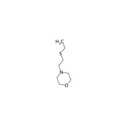 CCSCCN1CCOCC1